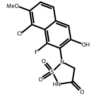 COc1ccc2cc(O)c(N3CC(=O)NS3(=O)=O)c(F)c2c1Cl